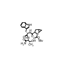 C[C@@H](O)[C@H](NC(=O)[C@H](Cc1c[nH]c2ccccc12)NC(=O)C1CC2CC2N1C(=O)OC(C)(C)C)C(N)=O